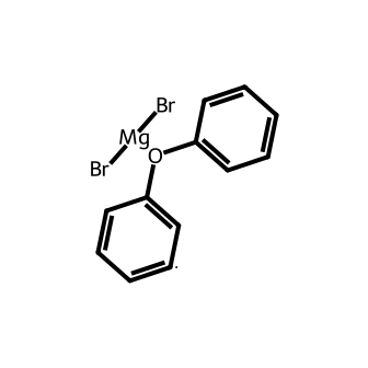 [Br][Mg][Br].[c]1cccc(Oc2ccccc2)c1